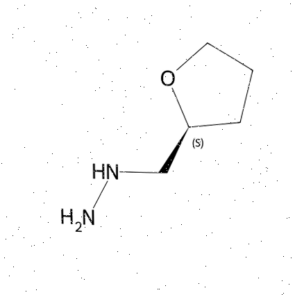 NNC[C@@H]1CCCO1